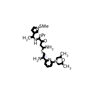 C=C(NC(CCC)C(=O)CC(N)S/C=C(\N)c1cccc(N2CC(C)OC(C)C2)n1)c1ccn(SC)c1